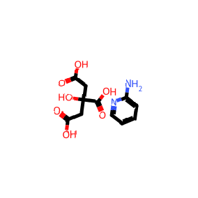 Nc1ccccn1.O=C(O)CC(O)(CC(=O)O)C(=O)O